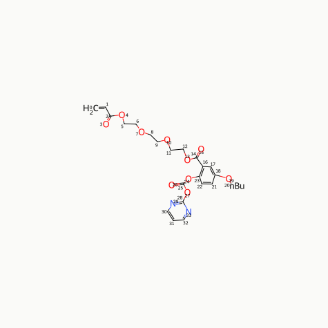 C=CC(=O)OCCOCCOCCOC(=O)c1cc(OCCCC)ccc1OC(=O)Oc1ncccn1